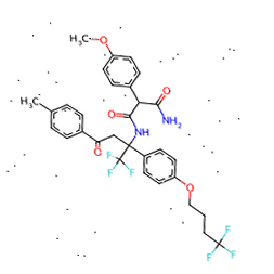 COc1ccc(C(C(N)=O)C(=O)NC(CC(=O)c2ccc(C)cc2)(c2ccc(OCCCC(F)(F)F)cc2)C(F)(F)F)cc1